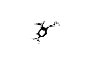 CSSc1ccc([N+](=O)[O-])cc1[N+](=O)[O-]